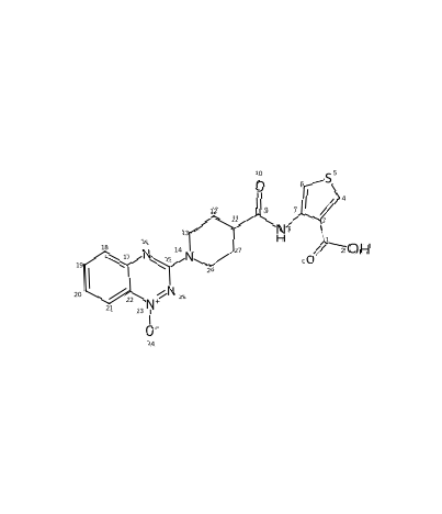 O=C(O)c1cscc1NC(=O)C1CCN(c2nc3ccccc3[n+]([O-])n2)CC1